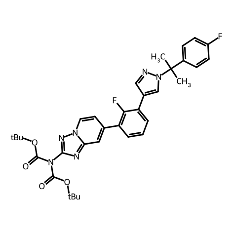 CC(C)(C)OC(=O)N(C(=O)OC(C)(C)C)c1nc2cc(-c3cccc(-c4cnn(C(C)(C)c5ccc(F)cc5)c4)c3F)ccn2n1